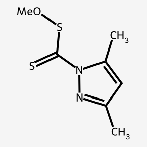 COSC(=S)n1nc(C)cc1C